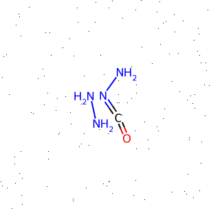 NN.NN=C=O